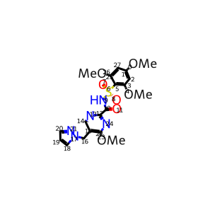 COc1cc(OC)c(S(=O)(=O)NC(=O)c2ncc(Cn3cccn3)c(OC)n2)c(OC)c1